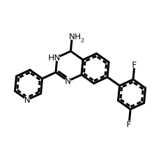 NC1NC(c2cccnc2)=Nc2cc(-c3cc(F)ccc3F)ccc21